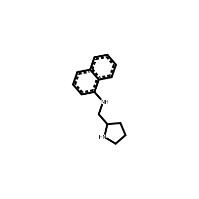 c1ccc2c(NCC3CCCN3)cccc2c1